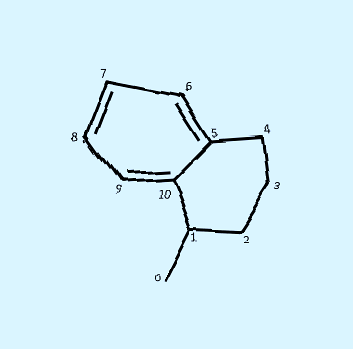 CC1CCCc2cc[c]cc21